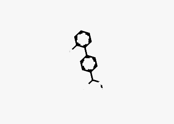 CC(=O)SC(C(=O)O)c1ccc(-c2ccccc2Br)cc1